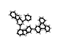 c1ccc(-c2nc(-c3cccc4oc5cc(-c6ccc7c8ccccc8c8ccccc8c7c6)ccc5c34)nc3c2sc2ccccc23)cc1